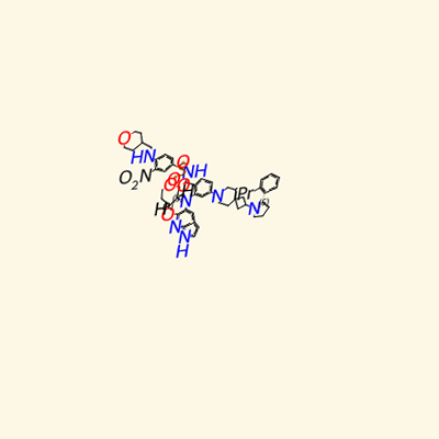 CC(C)c1ccccc1[C@@H]1CCCN1C1CC2(CCN(c3ccc(C(=O)NS(=O)(=O)c4ccc(NCC5CCOCC5)c([N+](=O)[O-])c4)c(N4c5cc6cc[nH]c6nc5O[C@@H]5CCOC[C@@H]54)c3)CC2)C1